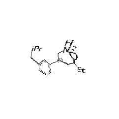 CCC(=O)C[C@H](CN)c1cccc(CC(C)C)c1